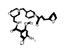 CCOc1cc(N)c(Cl)cc1C(=O)NCC1CN(CC2CCN(C(=O)/C=C/c3ccco3)CC2)CCO1